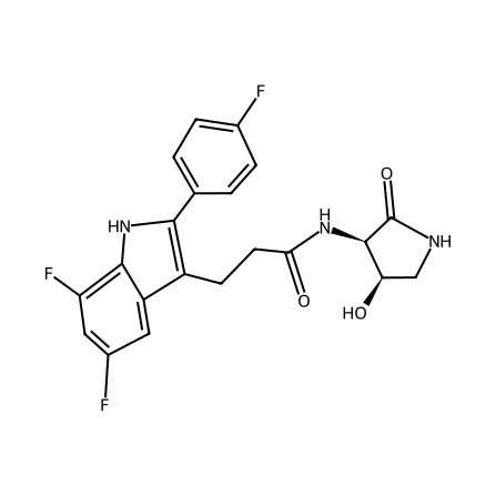 O=C(CCc1c(-c2ccc(F)cc2)[nH]c2c(F)cc(F)cc12)N[C@H]1C(=O)NC[C@H]1O